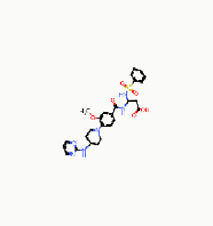 COc1cc(C(=O)NC(CC(=O)O)NS(=O)(=O)c2ccccc2)ccc1N1CCC(Nc2ncccn2)CC1